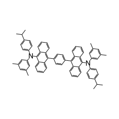 Cc1cc(C)cc(N(c2ccc(C(C)C)cc2)c2c3ccccc3c(-c3ccc(-c4c5ccccc5c(N(c5ccc(C(C)C)cc5)c5cc(C)cc(C)c5)c5ccccc45)cc3)c3ccccc23)c1